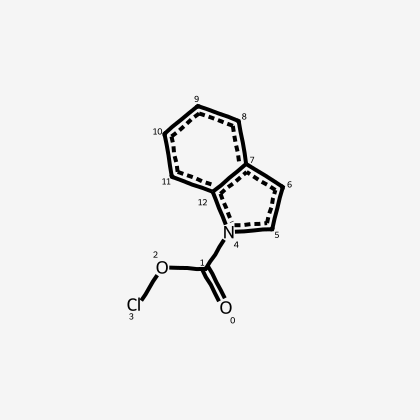 O=C(OCl)n1ccc2ccccc21